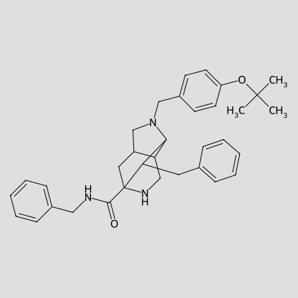 CC(C)(C)Oc1ccc(CN2CC3CC4(C(=O)NCc5ccccc5)NCC3C2C4Cc2ccccc2)cc1